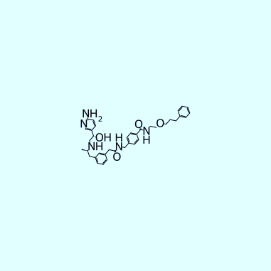 C[C@H](Cc1cccc(CC(=O)NCc2ccc(C(=O)NCCOCCCc3ccccc3)cc2)c1)NC[C@@H](O)c1ccc(N)nc1